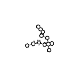 c1ccc(-c2ccc(-c3nnc(-c4ccc5c(-c6ccccc6)c6ccccc6c(-c6cccc(-c7cccc8c7ccc7cc9ccccc9cc78)c6)c5c4)o3)nc2)cc1